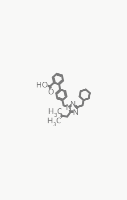 CC(C)Cc1nc(CC2CCCCC2)nn1Cc1ccc(-c2ccccc2C(=O)O)cc1